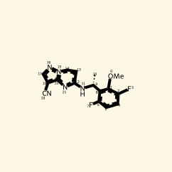 COc1c(F)ccc(F)c1[C@@H](C)Nc1ccn2ncc(C#N)c2n1